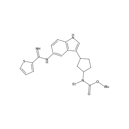 CCN(C(=O)OC(C)(C)C)C1CCC(c2c[nH]c3ccc(NC(=N)c4cccs4)cc23)C1